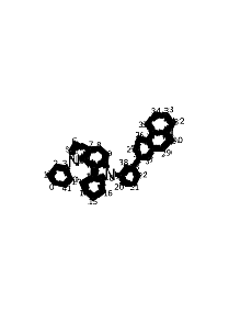 c1ccc(-n2ccc3ccc4c(c5ccccc5n4-c4cccc(-c5ccc6c(ccc7ccccc76)c5)c4)c32)cc1